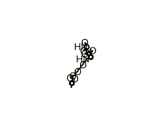 Cc1ccc(S(=O)(=O)OCCOCCCOCCNc2cccc3c2C(=O)N(C2CCC(=O)NC2=O)C3=O)cc1